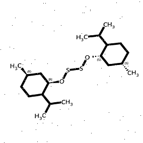 CC(C)C1CC[C@H](C)C[C@@H]1OSSO[C@@H]1C[C@H](C)CCC1C(C)C